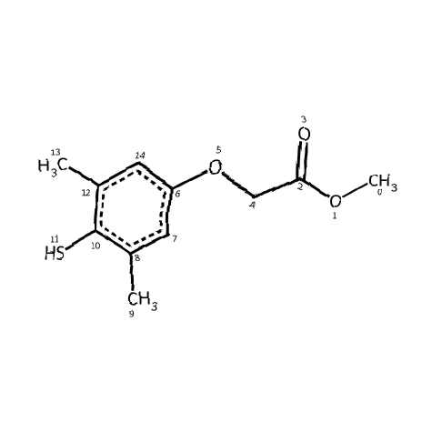 COC(=O)COc1cc(C)c(S)c(C)c1